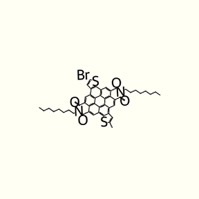 CCCCCCCCn1c(=O)c2cc3c4cc(Br)sc4c4cc5c(=O)n(CCCCCCCC)c(=O)c6cc7c8cc(C)sc8c8cc(c1=O)c2c1c3c4c(c65)c7c81